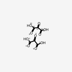 O=C(O)C(=O)C(=O)O.O=C(O)C(=O)C(=O)O